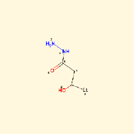 CCC(O)CC(=O)NN